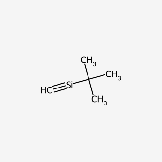 C#[Si]C(C)(C)C